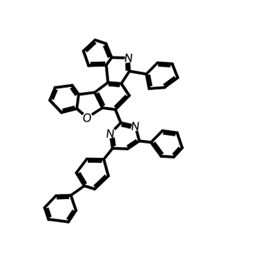 c1ccc(-c2ccc(-c3cc(-c4ccccc4)nc(-c4cc5c(-c6ccccc6)nc6ccccc6c5c5c4oc4ccccc45)n3)cc2)cc1